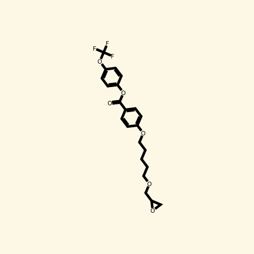 O=C(Oc1ccc(OC(F)(F)F)cc1)c1ccc(OCCCCCOCC2CO2)cc1